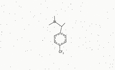 C[CH](c1ccc(C(F)(F)F)cc1)[Bi]([CH3])[CH3]